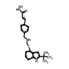 CC(C)(C)c1cc2c(CCNCc3ccc(/C=C/C(=O)NO)cc3)cccc2[nH]1